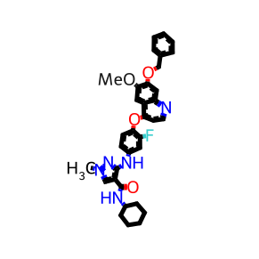 COc1cc2c(Oc3ccc(Nc4nn(C)cc4C(=O)NC4CCCCC4)cc3F)ccnc2cc1OCc1ccccc1